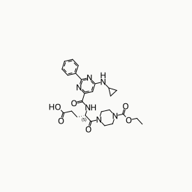 CCOC(=O)N1CCN(C(=O)[C@H](CCC(=O)O)NC(=O)c2cc(NC3CC3)nc(-c3ccccc3)n2)CC1